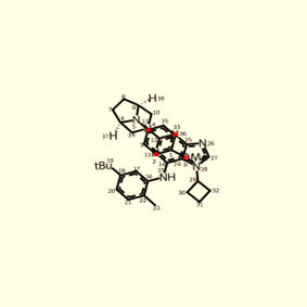 COc1ccc(N2[C@@H]3CC[C@H]2CN(c2nc(Nc4cc(C(C)(C)C)ccc4C)c4c(ncn4C4CCC4)n2)C3)cc1